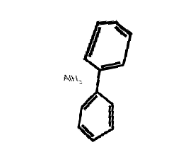 [AlH3].[c]1ccc(-c2ccccc2)cc1